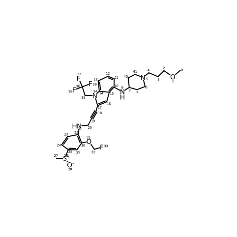 COCCCN1CCC(Nc2cccc3c2cc(C#CCNc2ccc([S+](C)[O-])cc2OCF)n3CC(F)(F)F)CC1